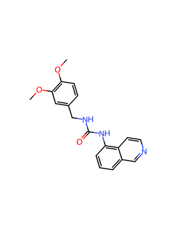 COc1ccc(CNC(=O)Nc2cccc3cnccc23)cc1OC